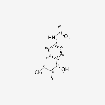 CC(=O)Nc1ccc(C(O)C(C)CCl)cc1